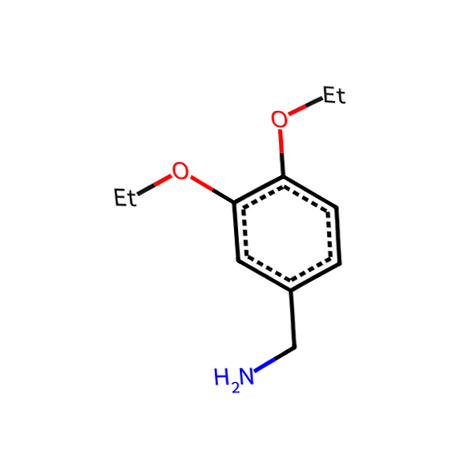 CCOc1ccc(CN)cc1OCC